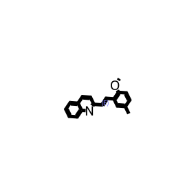 COc1ccc(C)cc1/C=C/c1ccc2ccccc2n1